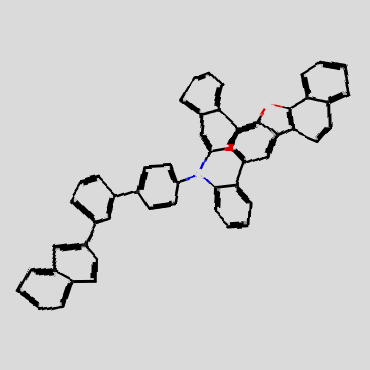 c1cc(-c2ccc(N(c3ccc4ccccc4c3)c3ccccc3-c3ccc4oc5c6ccccc6ccc5c4c3)cc2)cc(-c2ccc3ccccc3c2)c1